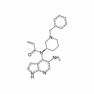 C=CC(=O)N(c1c(N)cnc2[nH]ccc12)[C@@H]1CCCN(Cc2ccccc2)C1